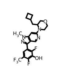 Cn1nc(-c2cc(C(F)(F)F)c(F)c(O)c2F)c2cnc(N3CCOCC3CC3CCC3)cc21